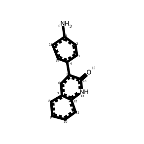 Nc1ccc(-c2cc3ccccc3[nH]c2=O)cc1